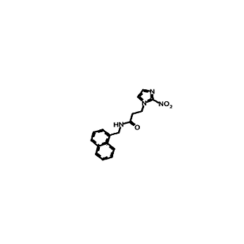 O=C(CCn1ccnc1[N+](=O)[O-])NCc1cccc2ccccc12